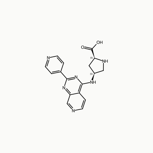 O=C(O)[C@@H]1C[C@H](Nc2nc(-c3ccncc3)nc3cnccc23)CN1